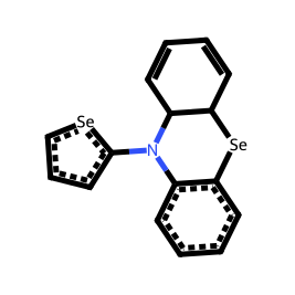 C1=CC2[Se]c3ccccc3N(c3ccc[se]3)C2C=C1